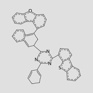 C1=CC(c2nc(-c3cccc4c3sc3ccccc34)nc(C3C=c4ccccc4=C(c4cccc5oc6ccccc6c45)C3)n2)=CCC1